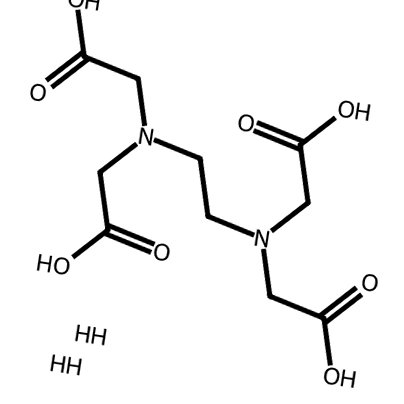 O=C(O)CN(CCN(CC(=O)O)CC(=O)O)CC(=O)O.[HH].[HH]